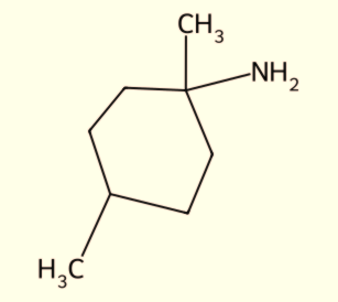 CC1CCC(C)(N)CC1